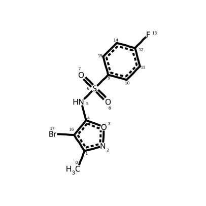 Cc1noc(NS(=O)(=O)c2ccc(F)cc2)c1Br